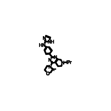 CC(C)N1CCc2c(nc(-c3ccc(Nc4ncc[nH]4)cc3)nc2N2CCOC[C@@H]2C)C1